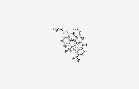 CCCCCN1CCCC(NC(=O)Nc2ccc(C(F)F)cc2)C1Oc1ccccc1C1(C(F)(F)F)CCO1